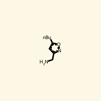 CCCCc1cc(CN)no1